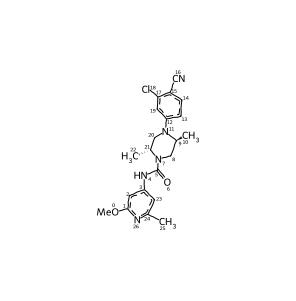 COc1cc(NC(=O)N2C[C@H](C)N(c3ccc(C#N)c(Cl)c3)C[C@H]2C)cc(C)n1